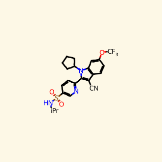 CC(C)NS(=O)(=O)c1ccc(-c2c(C#N)c3ccc(OC(F)(F)F)cc3n2C2CCCC2)nc1